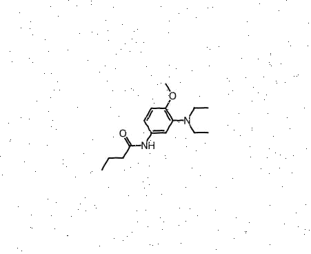 CCCC(=O)Nc1ccc(OC)c(N(CC)CC)c1